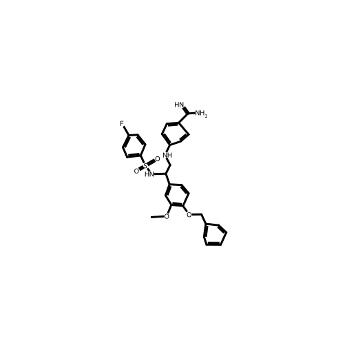 COc1cc(C(CNc2ccc(C(=N)N)cc2)NS(=O)(=O)c2ccc(F)cc2)ccc1OCc1ccccc1